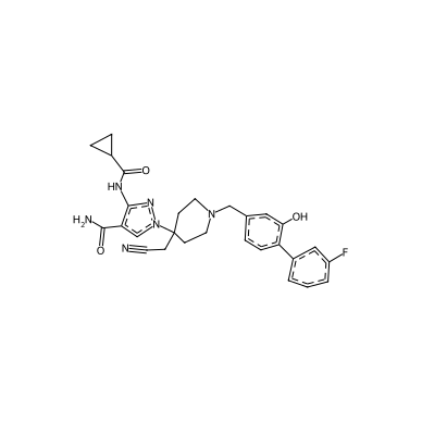 N#CCC1(n2cc(C(N)=O)c(NC(=O)C3CC3)n2)CCN(Cc2ccc(-c3cccc(F)c3)c(O)c2)CC1